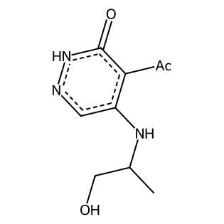 CC(=O)c1c(NC(C)CO)cn[nH]c1=O